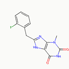 Cn1c(=O)[nH]c(=O)c2[nH]c(Cc3ccccc3F)nc21